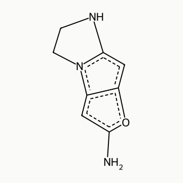 Nc1cc2c(cc3n2CCN3)o1